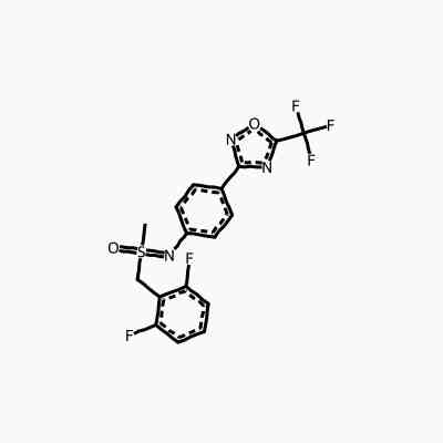 CS(=O)(Cc1c(F)cccc1F)=Nc1ccc(-c2noc(C(F)(F)F)n2)cc1